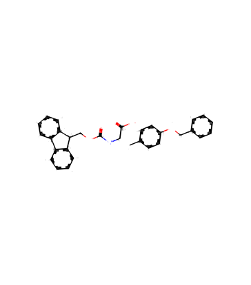 O=C(N[C@@H](Cc1ccc(OCc2ccccc2)cc1)C(=O)O)OCC1c2ccccc2-c2ccccc21